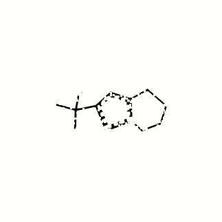 CCCC(C)(C)c1cc2n(n1)CCCC2